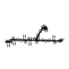 CC(C)=NNc1ccc(C(=O)NCCOCCOCCNC(=O)CCC(=O)NCCCCC(NC(=O)CCOCCCOCCC(=O)ON2C(=O)CCC2=O)C(=O)NCCCOCCOCCOCCCNC(=O)CCCN=[N+]=[N-])cn1